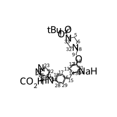 CC(C)(C)OC(=O)N1CCN(CCOc2ccc(Cc3ccc(Nc4ccnnc4C(=O)O)cc3)cc2)CC1.[NaH]